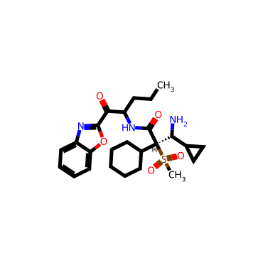 CCCC(NC(=O)[C@@](C1CCCCC1)(C(N)C1CC1)S(C)(=O)=O)C(=O)c1nc2ccccc2o1